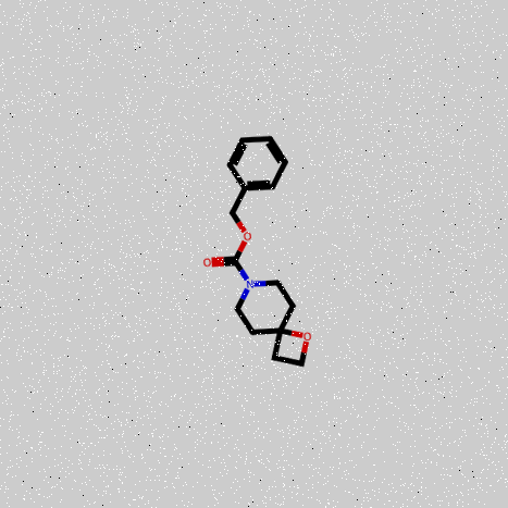 O=C(OCc1ccccc1)N1CCC2(CCO2)CC1